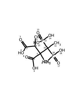 CC(C(=O)O)C(C)(C(=O)O)C(C)(P(=O)(O)O)P(=O)(O)O